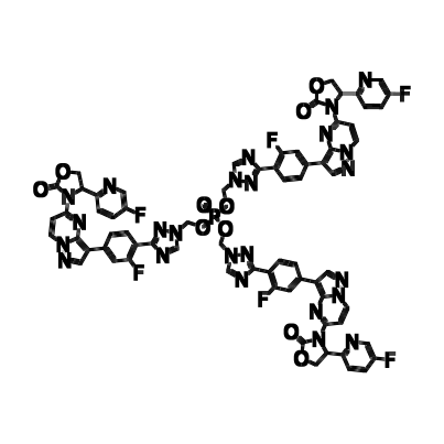 O=C1OCC(c2ccc(F)cn2)N1c1ccn2ncc(-c3ccc(-c4ncn(COP(=O)(OCn5cnc(-c6ccc(-c7cnn8ccc(N9C(=O)OCC9c9ccc(F)cn9)nc78)cc6F)n5)OCn5cnc(-c6ccc(-c7cnn8ccc(N9C(=O)OCC9c9ccc(F)cn9)nc78)cc6F)n5)n4)c(F)c3)c2n1